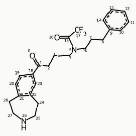 O=C(CCCN(CCCc1ccccc1)C(=O)C(F)(F)F)c1ccc2c(c1)CCNCC2